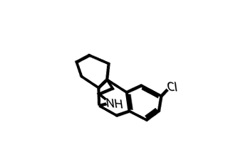 Clc1ccc2c(c1)C13CCCCC1C(C2)NCC3